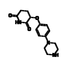 O=C1CCC(Oc2ccc(N3CCNCC3)cc2)C(=O)N1